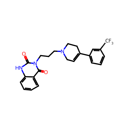 O=c1[nH]c2ccccc2c(=O)n1CCCN1CC=C(c2cccc(C(F)(F)F)c2)CC1